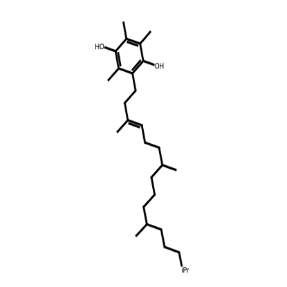 CC(=CCCC(C)CCCC(C)CCCC(C)C)CCc1c(C)c(O)c(C)c(C)c1O